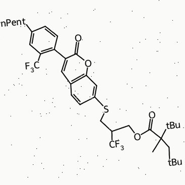 CCCCCc1ccc(-c2cc3ccc(SCC(COC(=O)C(C)(CC(C)(C)C)C(C)(C)C)C(F)(F)F)cc3oc2=O)c(C(F)(F)F)c1